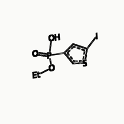 CCOP(=O)(O)c1csc(I)c1